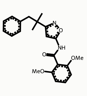 COc1cccc(OC)c1C(=O)Nc1cc(C(C)(C)Cc2ccccc2)no1